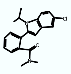 CC(C)n1c(-c2ccccc2C(=O)N(C)C)cc2cc(Cl)ccc21